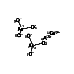 [Al+3].[Ga+3].[O-][As]([O-])[O-].[O-][As]([O-])[O-]